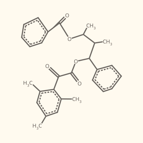 Cc1cc(C)c(C(=O)C(=O)OC(c2ccccc2)C(C)C(C)OC(=O)c2ccccc2)c(C)c1